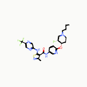 CCCCN1CC[C@H](Oc2ccc(NC(=O)c3c(C)nsc3Nc3cnc(C(F)(F)F)cn3)cn2)[C@H](F)C1